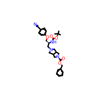 CC(C)(C)OC(=O)N[C@H](COc1ccc(C#N)cc1)CN1CC2CN(C(=O)OCc3ccccc3)CC2C1